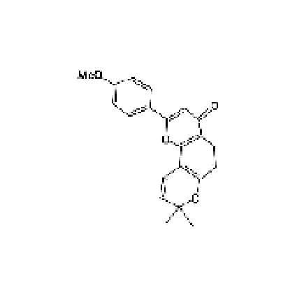 COc1ccc(-c2cc(=O)c3ccc4c(c3o2)C=CC(C)(C)O4)cc1